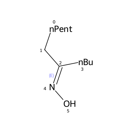 CCCCCC/C(CCCC)=N/O